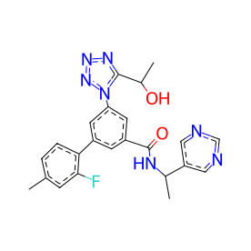 Cc1ccc(-c2cc(C(=O)NC(C)c3cncnc3)cc(-n3nnnc3C(C)O)c2)c(F)c1